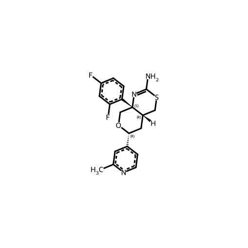 Cc1cc([C@H]2C[C@H]3CSC(N)=N[C@@]3(c3ccc(F)cc3F)CO2)ccn1